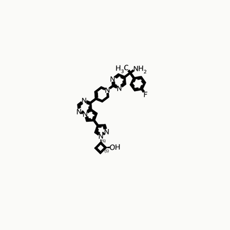 CC(N)(c1ccc(F)cc1)c1cnc(N2CC=C(c3ncnn4cc(-c5cnn([C@H]6CC[C@@H]6O)c5)cc34)CC2)nc1